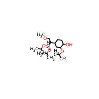 COCC(C1CCC(O)C(OC(C)C)C1)[SiH](OC(C)C)OC(C)C